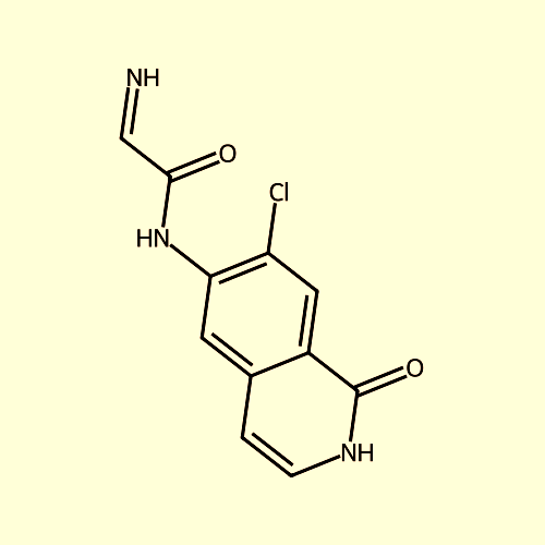 N=CC(=O)Nc1cc2cc[nH]c(=O)c2cc1Cl